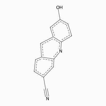 N#Cc1ccc2cc3cc(O)ccc3nc2c1